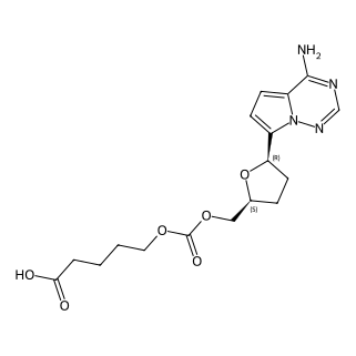 Nc1ncnn2c([C@H]3CC[C@@H](COC(=O)OCCCCC(=O)O)O3)ccc12